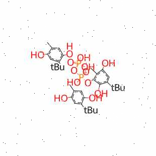 Cc1c(O)cc(C(C)(C)C)c(O)c1OP(=O)(O)OP(=O)(O)O.Cc1cc(O)c(C(C)(C)C)cc1O.Cc1cc(O)c(C(C)(C)C)cc1O